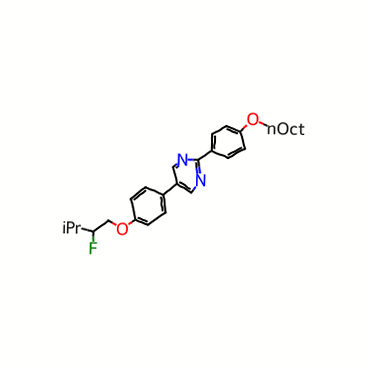 CCCCCCCCOc1ccc(-c2ncc(-c3ccc(OCC(F)C(C)C)cc3)cn2)cc1